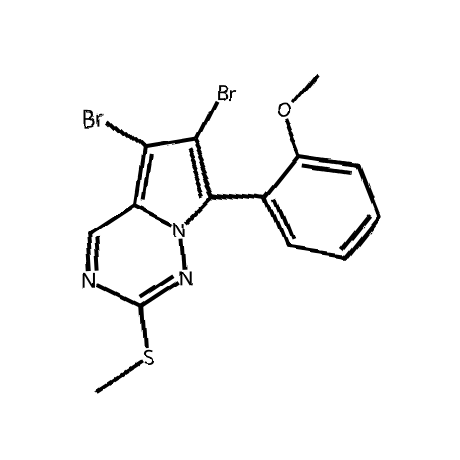 COc1ccccc1-c1c(Br)c(Br)c2cnc(SC)nn12